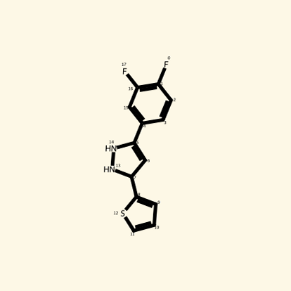 Fc1ccc(C2=CC(c3cccs3)NN2)cc1F